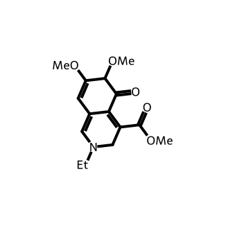 CCN1C=C2C=C(OC)C(OC)C(=O)C2=C(C(=O)OC)C1